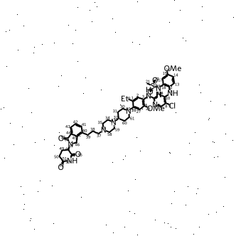 CCc1cc(Nc2ncc(Cl)c(Nc3ccc(OC)cc3NS(C)(=O)=O)n2)c(OC)cc1N1CCC(N2CCN(CCCc3cccc4c3CN(C3CCC(=O)NC3=O)C4=O)CC2)CC1